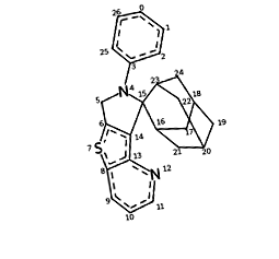 c1ccc(N2Cc3sc4cccnc4c3C23C2CC4CC(C2)CC3C4)cc1